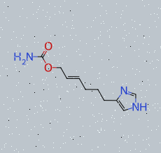 NC(=O)OCC=CCCCc1c[nH]cn1